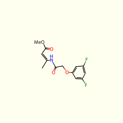 COC(=O)/C=C(/C)NC(=O)COc1cc(F)cc(F)c1